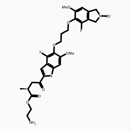 CCN1Cc2cc(OC)c(OCCCOc3c(OC)cc4sc(C(=O)C[C@H](C)C(=O)OCCN)cc4c3F)c(F)c2C1